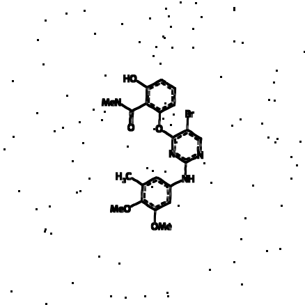 CNC(=O)c1c(O)cccc1Oc1nc(Nc2cc(C)c(OC)c(OC)c2)ncc1Br